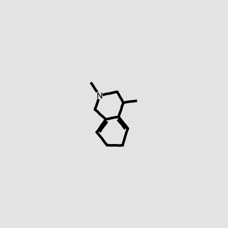 CC1CN(C)CC2=CCCC=C21